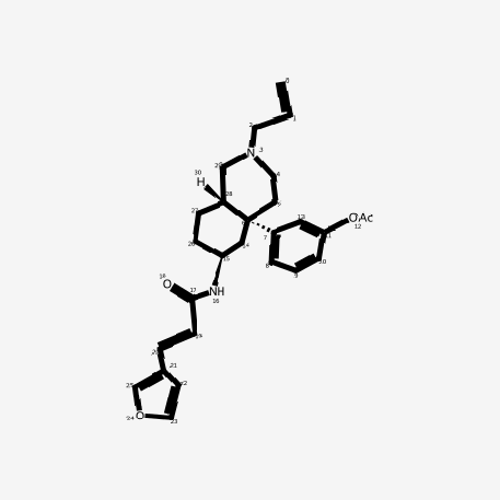 C=CCN1CC[C@@]2(c3cccc(OC(C)=O)c3)C[C@@H](NC(=O)C=Cc3ccoc3)CC[C@@H]2C1